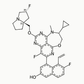 C=Cc1c(F)ccc2cc(O)cc(-c3nc4c5c(nc(OC[C@@]67CCCN6C[C@H](F)C7)nc5c3F)N(C)C(C3CC3)CO4)c12